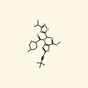 COC(=O)c1sc(C#CC(C)(C)C)cc1N(C(=O)C1CCC(C)CC1)C(C)c1nc(C(C)C)no1